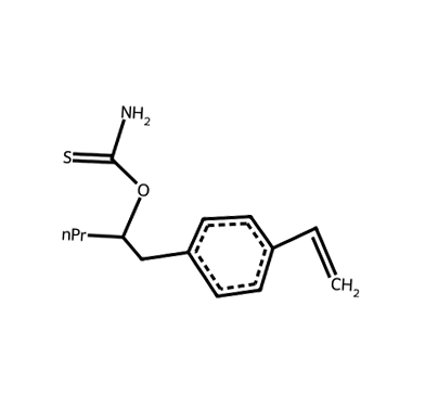 C=Cc1ccc(CC(CCC)OC(N)=S)cc1